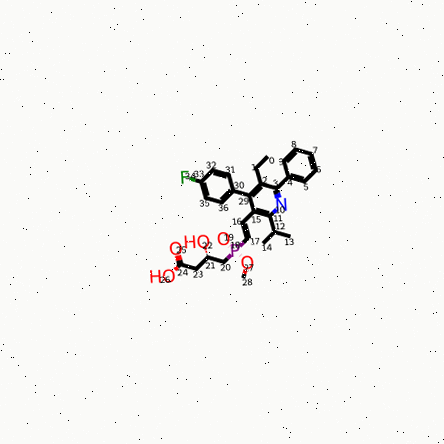 CCc1c(-c2ccccc2)nc(C(C)C)c(/C=C/P(=O)(C[C@@H](O)CC(=O)O)OC)c1-c1ccc(F)cc1